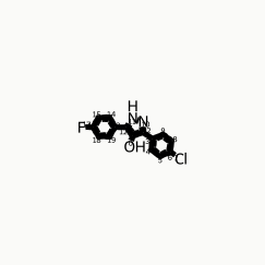 Oc1c(-c2ccc(Cl)cc2)n[nH]c1-c1ccc(F)cc1